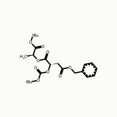 C[C@H](OC(=O)[C@H](CC(=O)OCc1ccccc1)OC(=O)OC(C)(C)C)C(=O)OC(C)(C)C